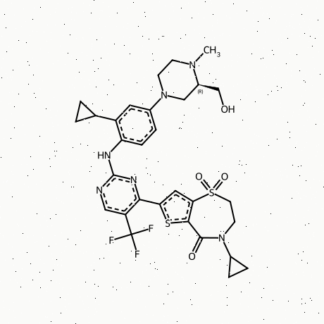 CN1CCN(c2ccc(Nc3ncc(C(F)(F)F)c(-c4cc5c(s4)C(=O)N(C4CC4)CCS5(=O)=O)n3)c(C3CC3)c2)C[C@@H]1CO